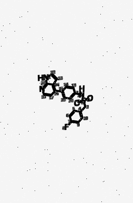 O=S(=O)(Cc1ccc(F)cc1)Nc1ccc(-c2ccnc3[nH]ccc23)cc1